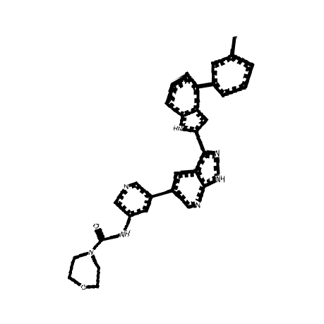 Cc1cccc(-c2cccc3[nH]c(-c4n[nH]c5ncc(-c6cncc(NC(=O)N7CCOCC7)c6)cc45)cc23)c1